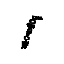 COc1ccc(S(=O)(=O)N2CCN(c3ccc(-c4noc(C)n4)cc3)CC2)cc1